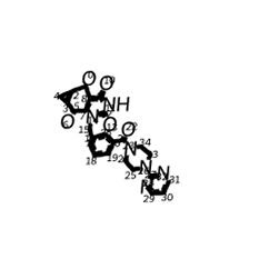 O=C1C2=C(C2)C(=O)c2c1c(=O)[nH]c(=O)n2Cc1cccc(C(=O)N2CCN(c3ncccn3)CC2)c1